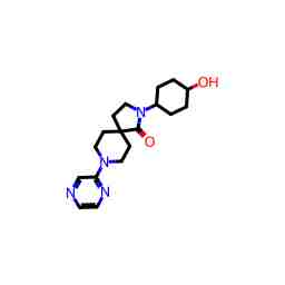 O=C1N(C2CCC(O)CC2)CCC12CCN(c1cnccn1)CC2